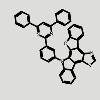 c1ccc(-c2cc(-c3ccccc3)nc(-c3cccc(-n4c5ccccc5c5c6scnc6c6c7ccccc7oc6c54)c3)n2)cc1